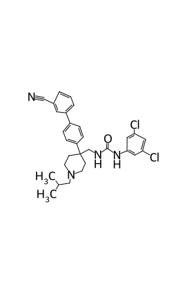 CC(C)CN1CCC(CNC(=O)Nc2cc(Cl)cc(Cl)c2)(c2ccc(-c3cccc(C#N)c3)cc2)CC1